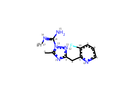 Cc1nc(Cc2ncccc2F)nn1/C(N)=N\C(C)C